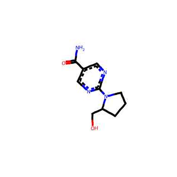 NC(=O)c1cnc(N2CCCC2CO)nc1